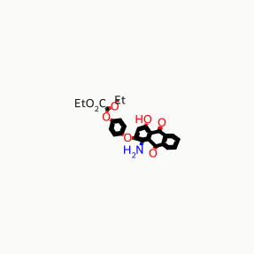 CCOC(=O)C(OCC)Oc1ccc(Oc2cc(O)c3c(c2N)C(=O)c2ccccc2C3=O)cc1